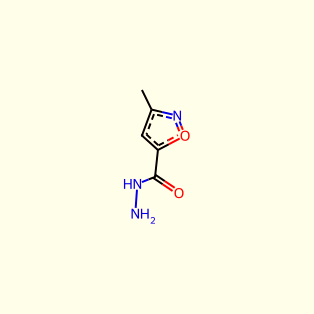 Cc1cc(C(=O)NN)on1